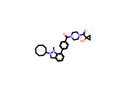 CN1c2c(cccc2-c2ccc(C(=O)N3CCN(C(=O)C4(O)CC4)CC3)cc2)CN1C1CCCCCCC1